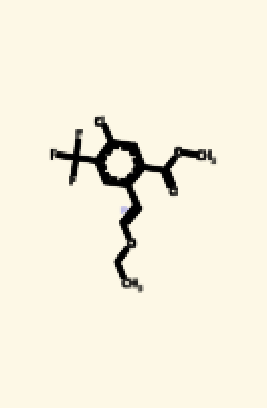 CCO/C=C/c1cc(C(F)(F)F)c(Cl)cc1C(=O)OC